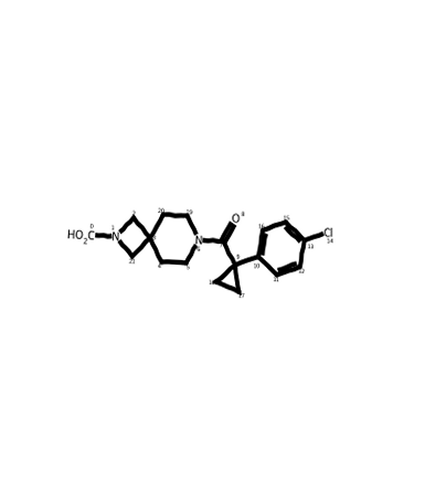 O=C(O)N1CC2(CCN(C(=O)C3(c4ccc(Cl)cc4)CC3)CC2)C1